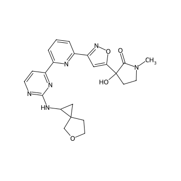 CN1CCC(O)(c2cc(-c3cccc(-c4ccnc(NC5CC56CCOC6)n4)n3)no2)C1=O